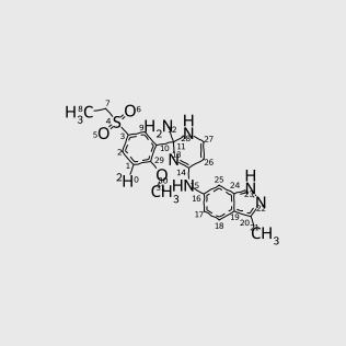 [2H]c1cc(S(=O)(=O)CC)cc(C2(N)N=C(Nc3ccc4c(C)n[nH]c4c3)C=CN2)c1OC